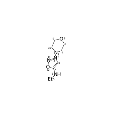 CCNc1c[n+](N2CCOCC2)no1